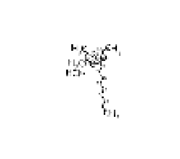 CCCCCCCCC[Si](OCC)(OCC)OCC.Cl